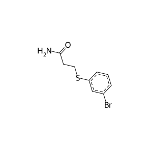 NC(=O)CCSc1cccc(Br)c1